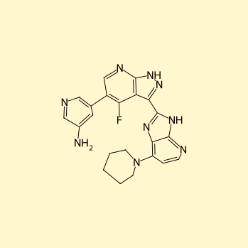 Nc1cncc(-c2cnc3[nH]nc(-c4nc5c(N6CCCCC6)ccnc5[nH]4)c3c2F)c1